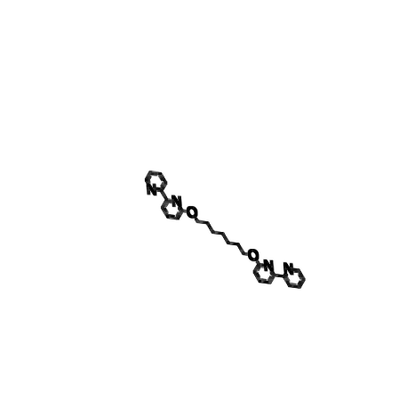 c1ccc(-c2cccc(OCCCCCCCOc3cccc(-c4ccccn4)n3)n2)nc1